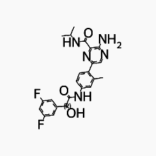 Cc1cc(NC(=O)[C@H](O)c2cc(F)cc(F)c2)ccc1-c1cnc(N)c(C(=O)NC(C)C)n1